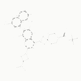 CN(C)C1CN(c2nc(N3CC4(CCN(C(=O)OC(C)(C)C)CC4)C3)c3cc(Cl)c(-c4cc(O)cc5ccccc45)c(F)c3n2)C1